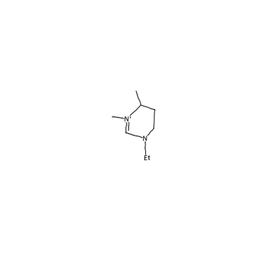 CCN1C=[N+](C)C(C)CC1